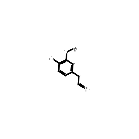 C=CCc1ccc(O)c(OCCC)c1